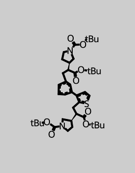 CC(C)(C)OC(=O)C(Cc1cccc(-c2ccsc2CC(C(=O)OC(C)(C)C)[C@H]2CCN(C(=O)OC(C)(C)C)C2)c1)[C@H]1CCN(C(=O)OC(C)(C)C)C1